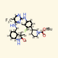 Cc1c(Nc2ncc(C(F)(F)F)c(NCc3cccc4c3C(C)(C)C(=O)N4)n2)ccc(C2CCCN(C(=O)OC(C)(C)C)C2)c1F